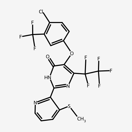 CSc1cccnc1-c1nc(C(F)(F)C(F)(F)F)c(Oc2ccc(Cl)c(C(F)(F)F)c2)c(=O)[nH]1